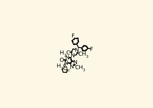 Cc1nc2c(N3C[C@@H](C)N(C(c4ccc(F)cc4)c4ccc(F)cc4)C[C@@H]3C)nc(=O)n(C)c2n1C[C@@H]1CCCO1